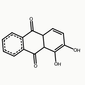 O=C1c2ccccc2C(=O)C2C(O)=C(O)C=CC12